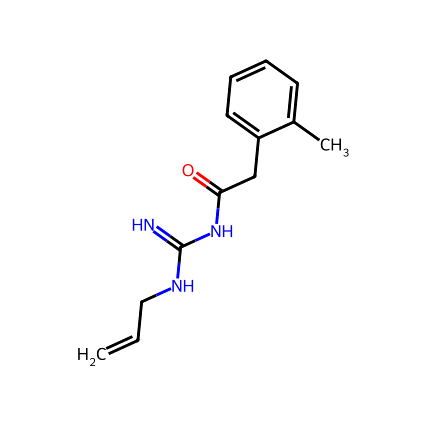 C=CCNC(=N)NC(=O)Cc1ccccc1C